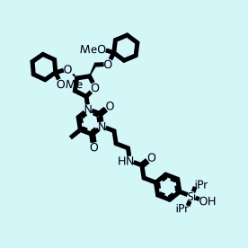 COC1(OC[C@H]2OC(n3cc(C)c(=O)n(CCCNC(=O)Cc4ccc([Si](O)(C(C)C)C(C)C)cc4)c3=O)C[C@@H]2OC2(OC)CCCCC2)CCCCC1